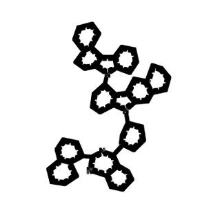 c1cc(-c2nc(-c3cccc4ccccc34)nc3ccccc23)cc(-n2c3cc4ccccc4cc3c3c(-n4c5ccccc5c5c6ccccc6ccc54)cccc32)c1